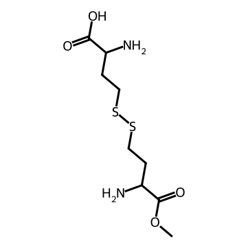 COC(=O)C(N)CCSSCCC(N)C(=O)O